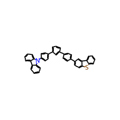 c1cc(-c2ccc(-c3ccc4sc5ccccc5c4c3)cc2)cc(-c2ccc(-n3c4ccccc4c4ccccc43)cc2)c1